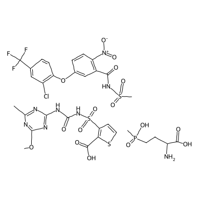 COc1nc(C)nc(NC(=O)NS(=O)(=O)c2ccsc2C(=O)O)n1.CP(=O)(O)CCC(N)C(=O)O.CS(=O)(=O)NC(=O)c1cc(Oc2ccc(C(F)(F)F)cc2Cl)ccc1[N+](=O)[O-]